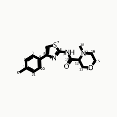 Cc1ccc(-c2csc(NC(=O)C3COCCN3C)n2)cc1